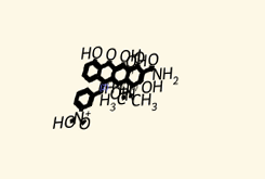 CN(C)[C@@H]1C(O)=C(C(N)=O)C(=O)[C@@]2(O)C(O)=C3C(=O)c4c(O)cccc4/C(=C\c4cccc([N+](=O)O)c4)[C@H]3[C@H](O)[C@@H]12